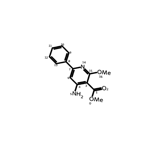 COC(=O)c1c(N)cc(-c2ccccc2)nc1OC